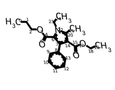 CCCOC(=O)c1c(-c2ccccc2)c(C(=O)OCC)c(C)n1CC